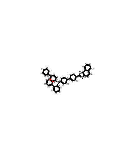 C1=C(c2ccc(N(c3ccc(-c4ccccc4)cc3)c3ccccc3-c3ccccc3)cc2)CCC(c2nc3ccc4ccccc4c3o2)=C1